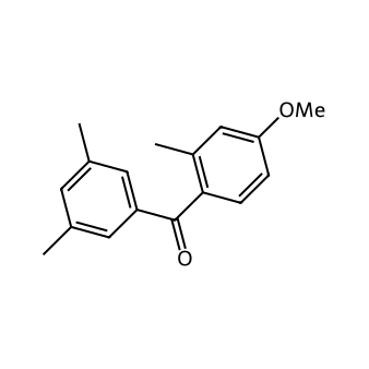 COc1ccc(C(=O)c2cc(C)cc(C)c2)c(C)c1